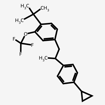 CC(Cc1ccc(C(C)(C)C)c(OC(F)(F)F)c1)c1ccc(C2CC2)cc1